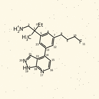 CCC(C)(CN)c1cc(CCCF)cc(-c2ccnc3[nH]ncc23)c1